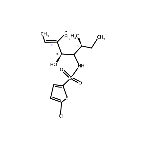 C/C=C(\C)[C@H](O)C(NS(=O)(=O)c1ccc(Cl)s1)[C@@H](C)CC